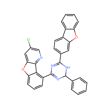 Clc1cnc2c(c1)oc1cccc(C3=NC(c4ccccc4)NC(c4ccc5c(c4)oc4ccccc45)=N3)c12